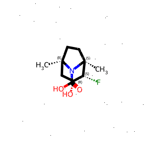 C[C@@]12CC[C@@](C)([C@H](F)[C@H](O)C1)N2C(=O)O